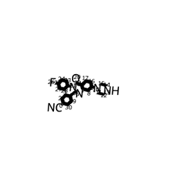 N#Cc1ccc(-c2nc3cc(N4CCNCC4)ccc3c(=O)n2-c2ccc(F)cc2)cc1